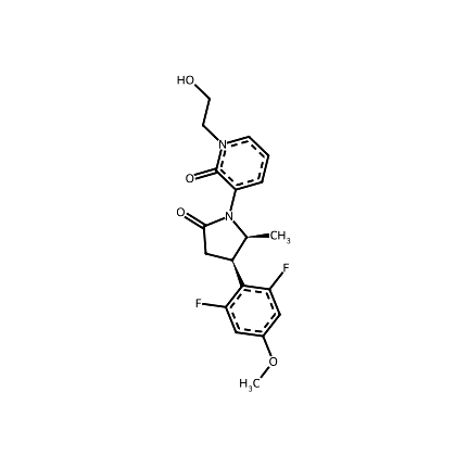 COc1cc(F)c([C@H]2CC(=O)N(c3cccn(CCO)c3=O)[C@H]2C)c(F)c1